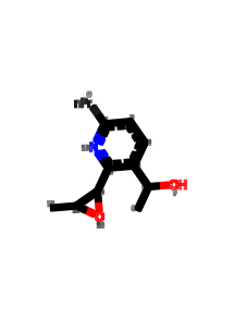 CCCc1ccc(C(C)O)c(C2OC2C)n1